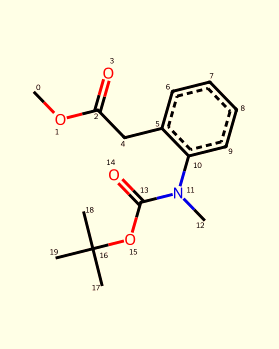 COC(=O)Cc1ccccc1N(C)C(=O)OC(C)(C)C